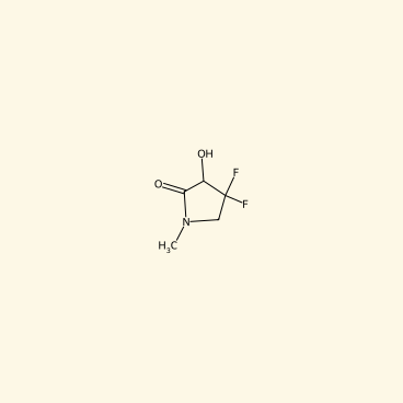 CN1CC(F)(F)C(O)C1=O